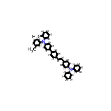 Cc1cccc(N(c2ccc(-c3ccc(/C=C/c4ccc(N(c5ccccc5)c5ccccc5)cc4)cc3)cc2)c2ccccc2C)c1